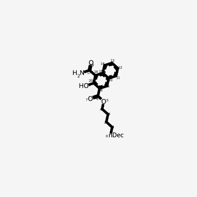 CCCCCCCCCCCCCCOC(=O)c1cc2ccccc2c(C(N)=O)c1O